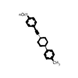 CCCCCCCCc1ccc(C#C[C@H]2CC[C@H](c3ccc(C)cc3)CC2)cc1